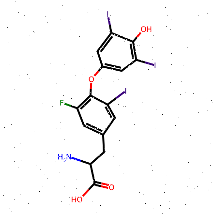 NC(Cc1cc(F)c(Oc2cc(I)c(O)c(I)c2)c(I)c1)C(=O)O